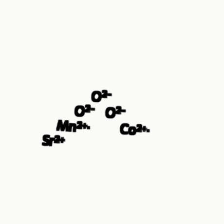 [Co+2].[Mn+2].[O-2].[O-2].[O-2].[Sr+2]